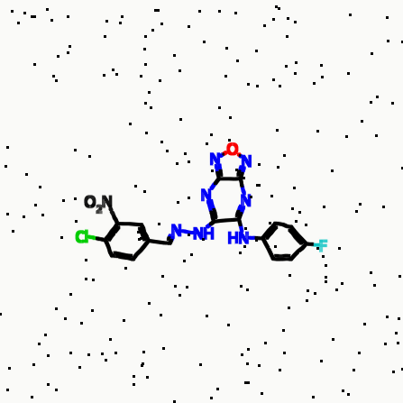 O=[N+]([O-])c1cc(C=NNc2nc3nonc3nc2Nc2ccc(F)cc2)ccc1Cl